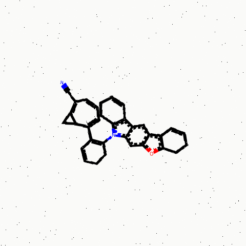 N#CC1=C2CC2C(C2=C(n3c4c(c5cc6c7c(oc6cc53)CCC=C7)C=CCC4)CCC=C2)=CC=C1